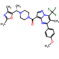 COc1ccc(-c2nc3c(C(=O)N4CCN([C@@H](C)c5oc(C)nc5C)CC4)cnn3c(C(F)(F)F)c2C)cc1